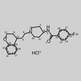 Cl.O=C(NC1CCN(CCC2CCOc3ccccc32)CC1)c1ccc(F)cc1